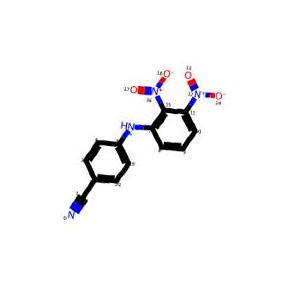 N#Cc1ccc(Nc2cccc([N+](=O)[O-])c2[N+](=O)[O-])cc1